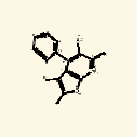 CC(=O)c1c(C)nc2sc(C)c(C)c2c1-c1ccccc1